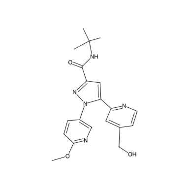 COc1ccc(-n2nc(C(=O)NC(C)(C)C)cc2-c2cc(CO)ccn2)cn1